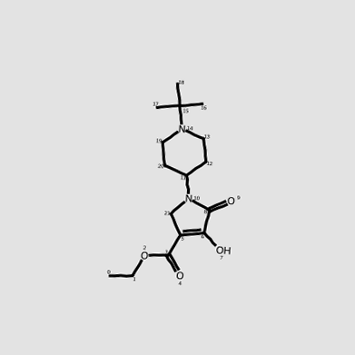 CCOC(=O)C1=C(O)C(=O)N(C2CCN(C(C)(C)C)CC2)C1